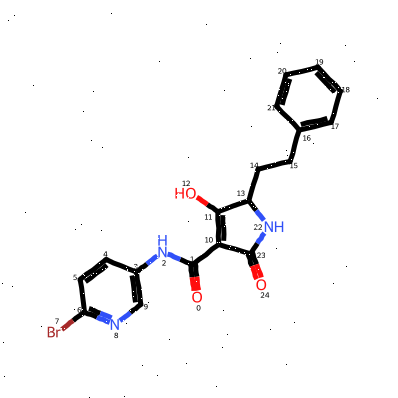 O=C(Nc1ccc(Br)nc1)C1=C(O)C(CCc2ccccc2)NC1=O